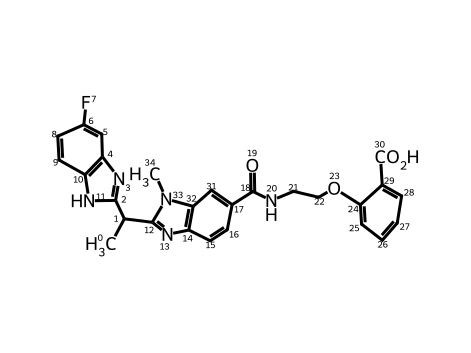 CC(c1nc2cc(F)ccc2[nH]1)c1nc2ccc(C(=O)NCCOc3ccccc3C(=O)O)cc2n1C